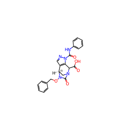 O=C(O)C1c2c(cnn2C(=O)Nc2ccccc2)[C@H]2CN1C(=O)N2OCc1ccccc1